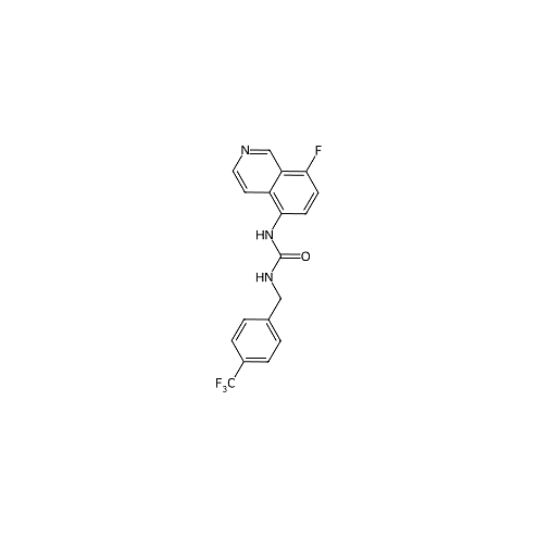 O=C(NCc1ccc(C(F)(F)F)cc1)Nc1ccc(F)c2cnccc12